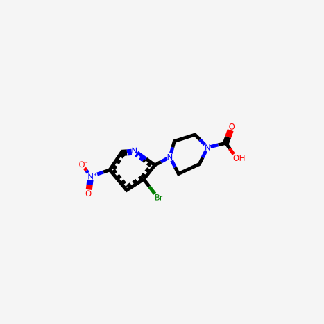 O=C(O)N1CCN(c2ncc([N+](=O)[O-])cc2Br)CC1